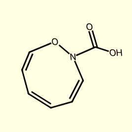 O=C(O)n1cccccco1